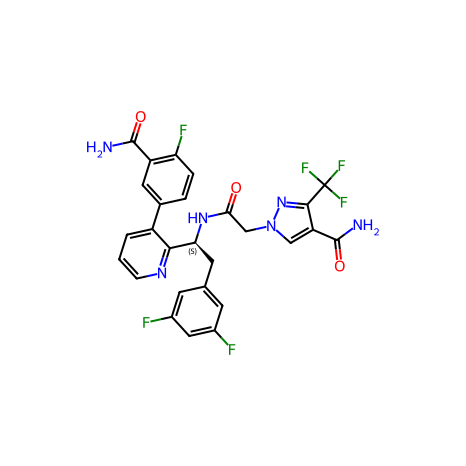 NC(=O)c1cc(-c2cccnc2[C@H](Cc2cc(F)cc(F)c2)NC(=O)Cn2cc(C(N)=O)c(C(F)(F)F)n2)ccc1F